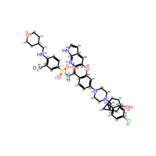 O=C(NS(=O)(=O)c1ccc(NCC2CCOCC2)c([N+](=O)[O-])c1)c1ccc(N2CCN(CC34CC(O)CCC3(c3ccc(Cl)cc3)C4)CC2)cc1Oc1cnc2[nH]ccc2c1